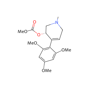 COC(=O)O[C@@H]1CN(C)CC=C1c1c(OC)cc(OC)cc1OC